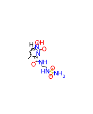 CC1=C[C@@H]2CN(C(=O)N2O)[C@@H]1C(=O)NCCNS(N)(=O)=O